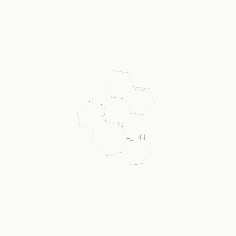 Cc1ccc(N2c3ncccc3C=Cc3cccnc32)c2c1CCCO2